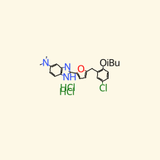 CC(C)COc1ccc(Cl)cc1Cc1ccc(-c2nc3cc(N(C)C)ccc3[nH]2)o1.Cl.Cl